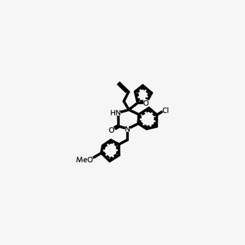 C=CCC1(c2ccco2)NC(=O)N(Cc2ccc(OC)cc2)c2ccc(Cl)cc21